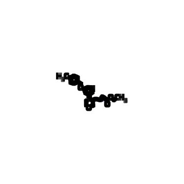 CCOC(=O)/C=C/CC1COCCN1c1cncc(OCc2ccc(C)cc2)c1